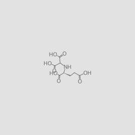 O=C(O)CC[C@H](NC(C(=O)O)C(=O)O)C(=O)O